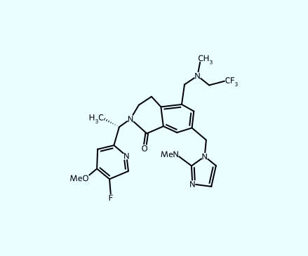 CNc1nccn1Cc1cc(CN(C)CC(F)(F)F)c2c(c1)C(=O)N([C@@H](C)c1cc(OC)c(F)cn1)CC2